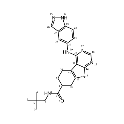 CC(C)(C)CNC(=O)C1CCc2c(sc3ncnc(Nc4ccc5[nH]ncc5c4)c23)C1